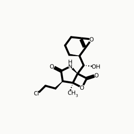 C[C@@]12OC(=O)[C@]1([C@@H](O)[C@H]1CCCC3=C1O3)NC(=O)[C@@H]2CCCl